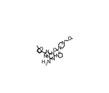 COCCN1CCN(C(=O)[C@@H]2CCCN2c2nc(N)n3nc(-c4ccc(C)o4)nc3n2)CC1